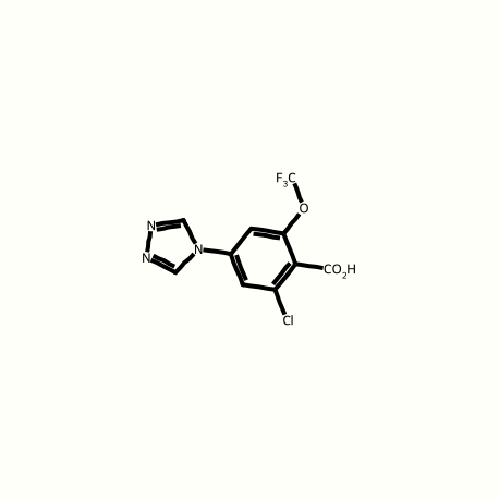 O=C(O)c1c(Cl)cc(-n2cnnc2)cc1OC(F)(F)F